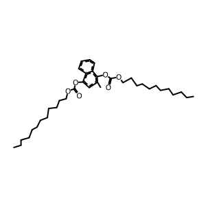 CCCCCCCCCCCCOC(=O)Oc1cc(C)c(OC(=O)OCCCCCCCCCCCC)c2ccccc12